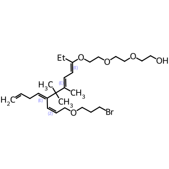 C=CC/C=C(\C=C/COCCCBr)C(C)(C)/C(C)=C/C=C(\CC)OCCOCCOCCO